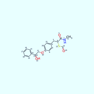 CNC(=O)C(Cc1ccc(OC[C@@H](O)c2ccccc2)cc1)SC=O